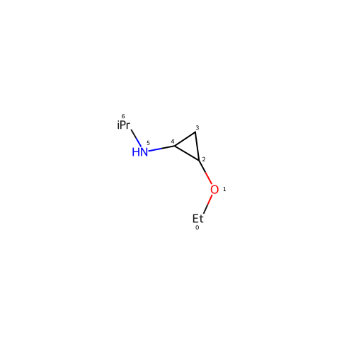 CCOC1CC1NC(C)C